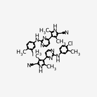 Cc1cc(Nc2nccc(-c3c(C)[nH]c(C#N)c3C)n2)ccc1Cl.Cc1ccc(Nc2nccc(-c3c(C)[nH]c(C#N)c3C)n2)cc1I